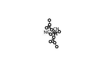 N#Cc1ccc(-c2cc(-n3c4ccccc4c4cc(-c5ccccc5)ccc43)ccc2-c2nc(-c3ccccc3)nc(-c3ccc(-n4c5ccccc5c5cc(-c6ccccc6)ccc54)cc3C#N)n2)cc1